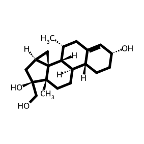 C[C@@H]1CC2=C[C@H](O)CC[C@@H]2[C@H]2CC[C@]3(C)[C@](O)(CO)C[C@H]4C[C@]43[C@@H]21